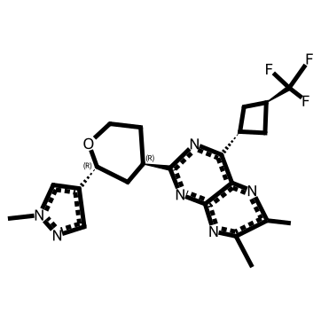 Cc1nc2nc([C@@H]3CCO[C@@H](c4cnn(C)c4)C3)nc([C@H]3C[C@H](C(F)(F)F)C3)c2nc1C